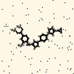 CCN(CC)c1ccc(Nc2nc(-c3ccc(-n4nnc(C5CC5)n4)cc3)cs2)c(C)c1